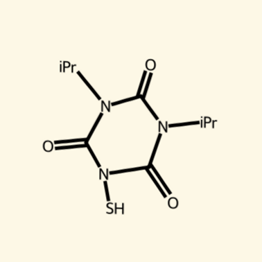 CC(C)n1c(=O)n(S)c(=O)n(C(C)C)c1=O